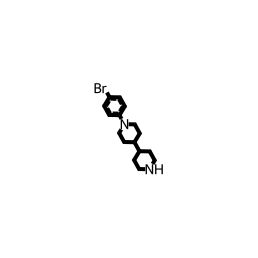 Brc1ccc(N2CCC(C3CCNCC3)CC2)cc1